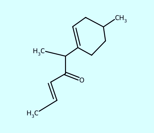 CC=CC(=O)C(C)C1=CCC(C)CC1